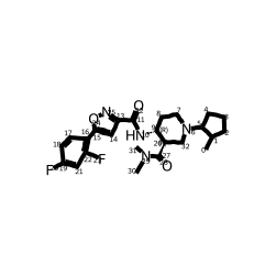 CC1CCCC1N1CC[C@@H](NC(=O)c2cc(-c3ccc(F)cc3F)on2)[C@H](C(=O)N(C)C)C1